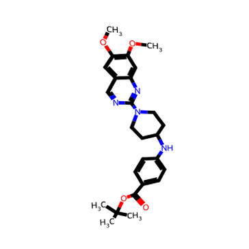 COc1cc2cnc(N3CCC(Nc4ccc(C(=O)OC(C)(C)C)cc4)CC3)nc2cc1OC